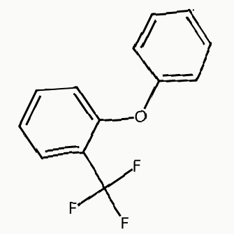 FC(F)(F)c1ccccc1Oc1cc[c]cc1